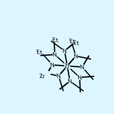 CC[N](C)[Zr]([N](C)C)([N](C)C)([N](C)C)([N](C)C)([N](C)CC)([N](C)CC)[N](C)CC.[Zr]